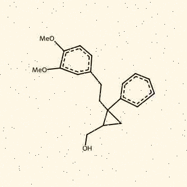 COc1ccc(CCC2(c3ccccc3)CC2CO)cc1OC